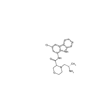 C[C@H](N)CN1CCOCC1C(=O)Nc1cc(Cl)cc2c1[nH]c1cnccc12